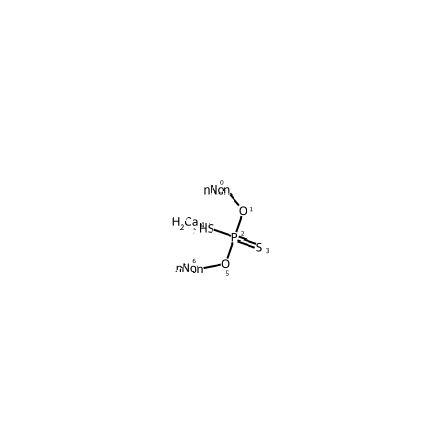 CCCCCCCCCOP(=S)(S)OCCCCCCCCC.[CaH2]